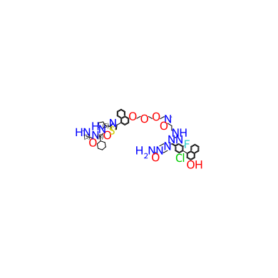 CN[C@@H](C)C(=O)N[C@H](C(=O)N1CCC[C@H]1c1nc(-c2ccc(OCCOCCOCCN(C)C(=O)CCNc3nc(N4CCN(C(N)=O)CC4)c4cc(Cl)c(-c5cc(O)cc6ccccc56)c(F)c4n3)c3ccccc23)cs1)C1CCCCC1